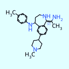 C/C(N)=C1/NCCC(Nc2ccc(C)cc2)c2cc(C3CCN(C)CC3)ccc21